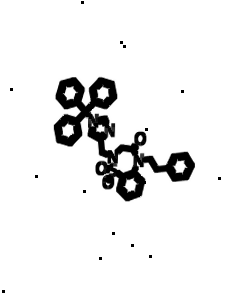 O=C1CN(Cc2cn(C(c3ccccc3)(c3ccccc3)c3ccccc3)cn2)S(=O)(=O)c2ccccc2N1CCc1ccccc1